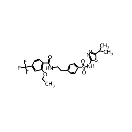 CCOc1cc(C(F)(F)F)ccc1C(=O)NCCc1ccc(S(=O)(=O)Nc2nnc(C(C)C)s2)cc1